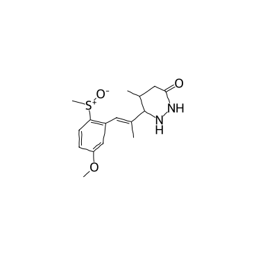 COc1ccc([S+](C)[O-])c(/C=C(\C)C2NNC(=O)CC2C)c1